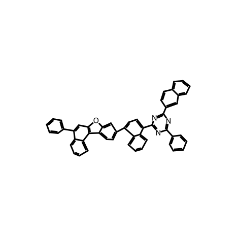 c1ccc(-c2nc(-c3ccc4ccccc4c3)nc(-c3ccc(-c4ccc5c(c4)oc4cc(-c6ccccc6)c6ccccc6c45)c4ccccc34)n2)cc1